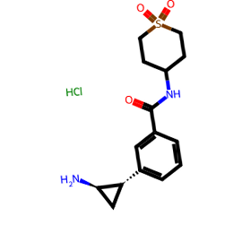 Cl.N[C@@H]1C[C@H]1c1cccc(C(=O)NC2CCS(=O)(=O)CC2)c1